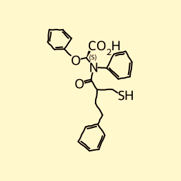 O=C(O)[C@H](Oc1ccccc1)N(C(=O)C(CS)CCc1ccccc1)c1ccccc1